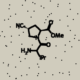 COC(=O)[C@@H]1C[C@@H](C#N)CN1C(=O)C(N)C(C)C